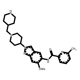 COc1cc2nn(C3CCN(CC4CCNCC4)CC3)cc2cc1NC(=O)c1cccc(C)n1